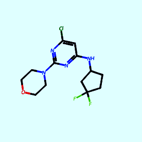 FC1(F)CCC(Nc2cc(Cl)nc(N3CCOCC3)n2)C1